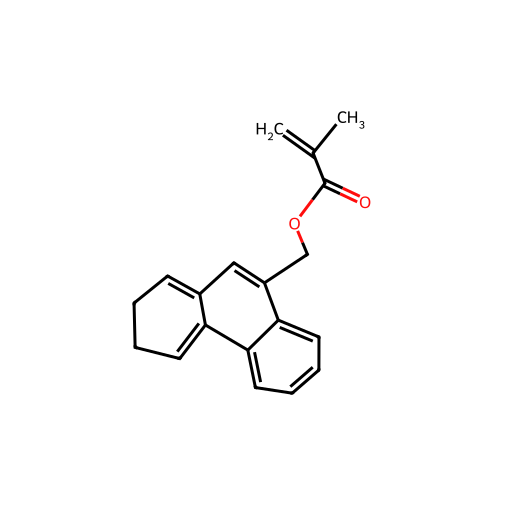 C=C(C)C(=O)OCc1cc2c(c3ccccc13)=CCCC=2